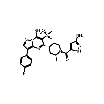 C[C@H]1C[C@H](c2nc3c(-c4ccc(F)cc4)cnn3c(N)c2S(C)(=O)=O)CCN1C(=O)c1cc(N)n[nH]1